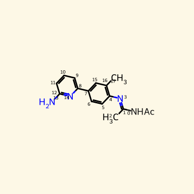 CC(=O)N/C(C)=N/c1ccc(-c2cccc(N)n2)cc1C